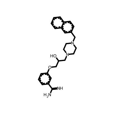 N=C(N)c1cccc(OCC(O)CN2CCN(Cc3ccc4ccccc4c3)CC2)c1